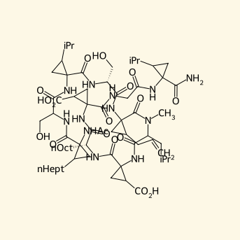 C=CCC1CC1(NC(=O)[C@@H](CO)NC(=O)C1(NC(=O)C(CO)NC(=O)C2(NC(C)=O)CC2CCCCCCC)CC1C(C)C)C(=O)N(C)C(CC(C)C)C(=O)NC1(C(=O)N[C@H](CCCCCCCC)C(=O)NC2(C(=O)NCC(=O)NC3(C(N)=O)CC3C(C)C)CC2C(=O)O)CC1C(=O)O